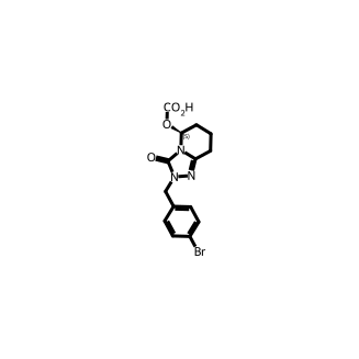 O=C(O)O[C@H]1CCCc2nn(Cc3ccc(Br)cc3)c(=O)n21